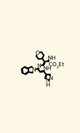 CCOC(=O)C(=N)/C(=C1/N=C(N2Cc3ccccc3C2)C=C(c2cn[nH]c2)N1)C1CCOCC1